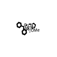 CO[Si]1(OC)CCCN1C[SiH2]OC(c1ccccc1)c1ccccc1